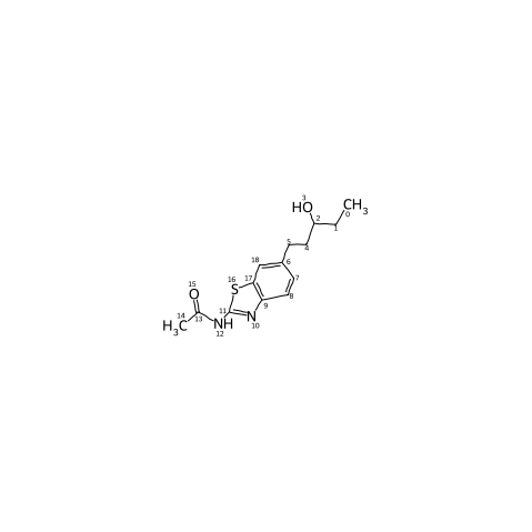 CCC(O)CCc1ccc2nc(NC(C)=O)sc2c1